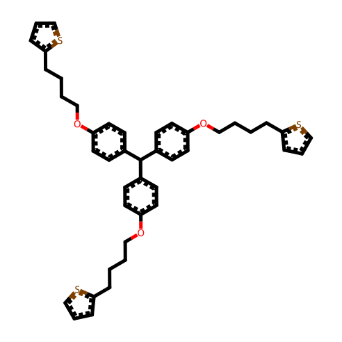 c1csc(CCCCOc2ccc(C(c3ccc(OCCCCc4cccs4)cc3)c3ccc(OCCCCc4cccs4)cc3)cc2)c1